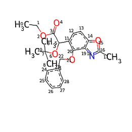 CCOC(=O)C(OC(C)(C)C)c1ccc2oc(C)nc2c1OCc1ccccc1